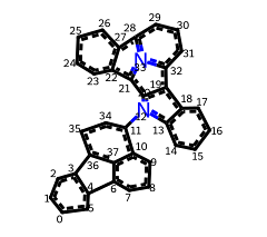 c1ccc2c(c1)-c1cccc3c(-n4c5ccccc5c5c4c4c6ccccc6c6cccc5n64)ccc-2c13